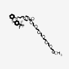 COCCOCCOCCOCCOCCOCCOC(=O)N1CCN(CCCN2c3ccccc3Sc3ccc(C(F)(F)F)cc32)CC1